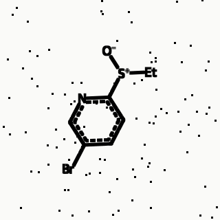 CC[S+]([O-])c1ccc(Br)cn1